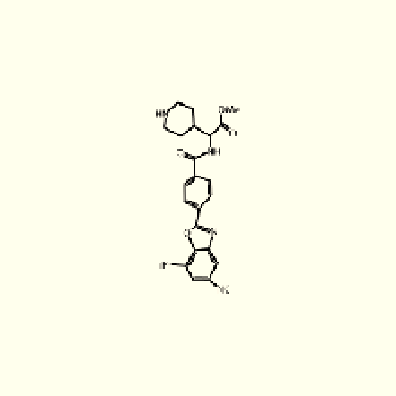 [C-]#[N+]c1cc(C(C)C)c2oc(-c3ccc(C(=O)NC(C(=O)OC)C4CCNCC4)cc3)nc2c1